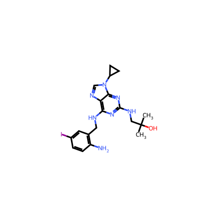 CC(C)(O)CNc1nc(NCc2cc(I)ccc2N)c2ncn(C3CC3)c2n1